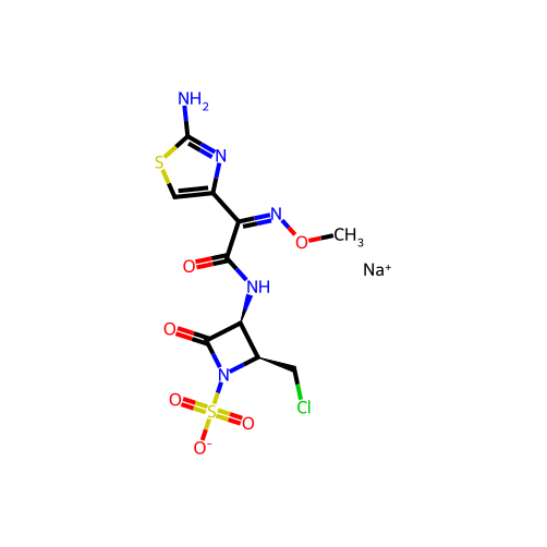 CON=C(C(=O)N[C@@H]1C(=O)N(S(=O)(=O)[O-])[C@@H]1CCl)c1csc(N)n1.[Na+]